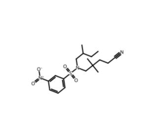 CCC(C)CN(CC(C)(C)CCC#N)S(=O)(=O)c1cccc([N+](=O)[O-])c1